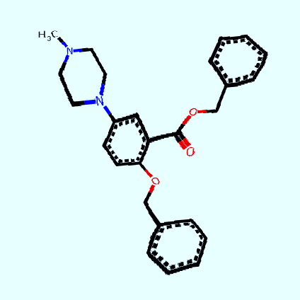 CN1CCN(c2ccc(OCc3ccccc3)c(C(=O)OCc3ccccc3)c2)CC1